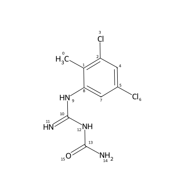 Cc1c(Cl)cc(Cl)cc1NC(=N)NC(N)=O